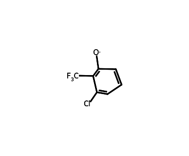 [O]c1cccc(Cl)c1C(F)(F)F